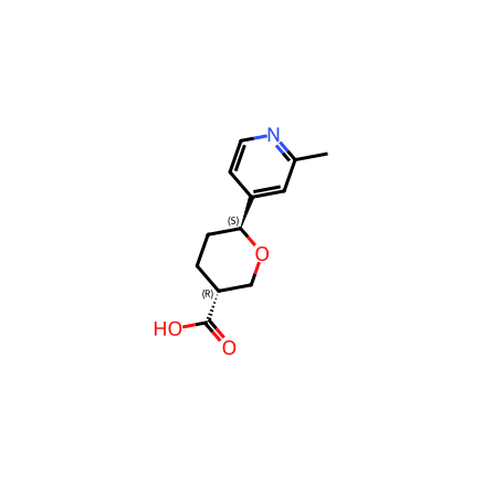 Cc1cc([C@@H]2CC[C@@H](C(=O)O)CO2)ccn1